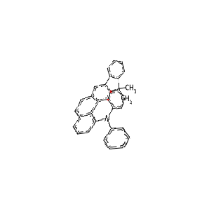 CC1(C)c2ccccc2-c2cc3ccc4cccc(N(c5ccccc5)c5ccccc5)c4c3cc21